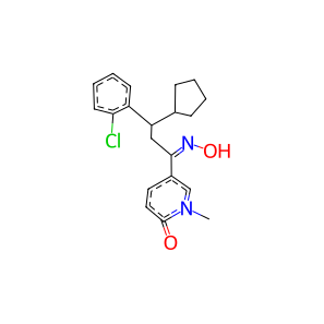 Cn1cc(C(CC(c2ccccc2Cl)C2CCCC2)=NO)ccc1=O